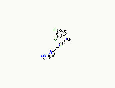 CN(C1CC2(C1)CN(CCc1ccc3c(n1)NCCC3)C2)C(CC(=O)O)c1cc(Cl)cc(Cl)c1